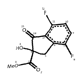 COC(=O)C1(O)Cc2c(F)ccc(F)c2C1=O